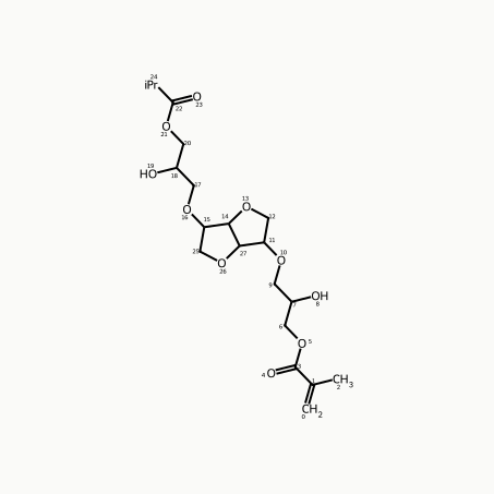 C=C(C)C(=O)OCC(O)COC1COC2C(OCC(O)COC(=O)C(C)C)COC12